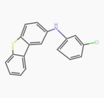 Clc1cccc(Nc2ccc3sc4ccccc4c3c2)c1